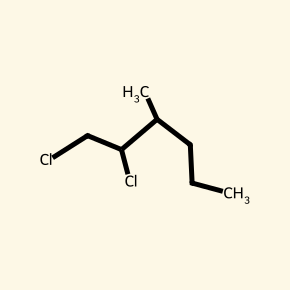 CCCC(C)C(Cl)CCl